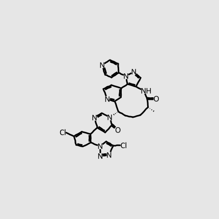 C[C@@H]1CCC[C@H](n2cnc(-c3cc(Cl)ccc3-n3cc(Cl)nn3)cc2=O)c2cc(ccn2)-c2c(cnn2-c2ccncc2)NC1=O